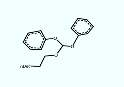 CCCCCCCCCCCCOC(Oc1ccccc1)Oc1ccccc1